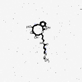 CO/N=C/C=C/C(=O)NCCCC1CC(O)C2OC2C(O)/C=C\c2cccc(O)c2C(=O)O1